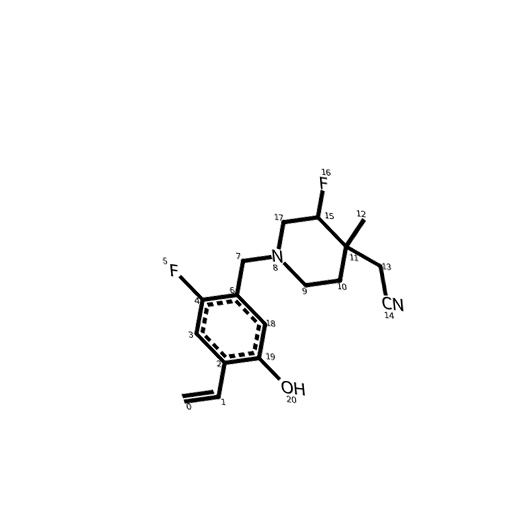 C=Cc1cc(F)c(CN2CCC(C)(CC#N)C(F)C2)cc1O